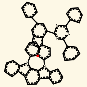 c1ccc(-c2cc(-c3nc(-c4ccccc4)nc(-c4ccccc4)n3)c3c(c2)oc2cc(-n4c5ccccc5c5ccc6c7ccccc7n(-c7ccccc7)c6c54)ccc23)cc1